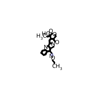 CCCO/N=C/c1c2c(nc3ccccc13)-c1cc3c(c(=O)n1C2)COC(=O)[C@]3(O)CC